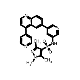 Cc1nn(C)c(C)c1S(=O)(=O)Nc1cncc(-c2ccc3nccc(-c4ccncc4)c3c2)c1